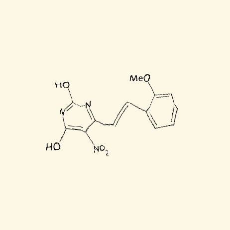 COc1ccccc1/C=C/c1nc(O)nc(O)c1[N+](=O)[O-]